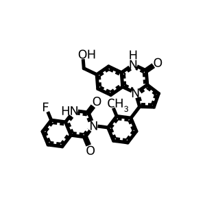 Cc1c(-c2ccc3c(=O)[nH]c4cc(CO)ccc4n23)cccc1-n1c(=O)[nH]c2c(F)cccc2c1=O